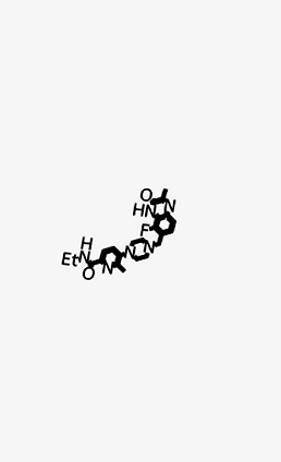 CCNC(=O)c1ccc(N2CCN(Cc3ccc4nc(C)c(=O)[nH]c4c3F)CC2)c(C)n1